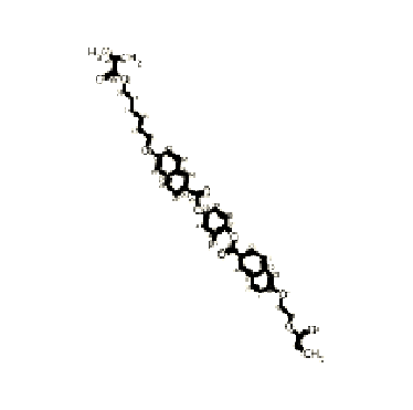 C=CC(=O)OCCOc1ccc2cc(C(=O)Oc3ccc(OC(=O)c4ccc5cc(OCCCCCCOC(=O)C(=C)C)ccc5c4)cc3F)ccc2c1